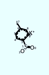 O=S([O-])c1ccc(I)cc1.[K+]